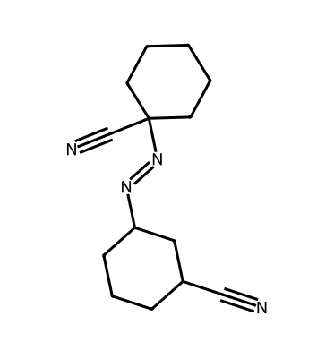 N#CC1CCCC(N=NC2(C#N)CCCCC2)C1